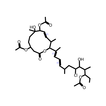 CCC(OC(C)=O)C(C)C(O)C(Cl)CC(C)/C=C/C=C(\C)C1OC(=O)CC(OC(C)=O)CCC(C)(O)C(OC(C)=O)/C=C/C1C